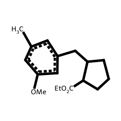 CCOC(=O)C1CCCC1Cc1cc(C)cc(OC)c1